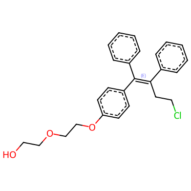 OCCOCCOc1ccc(/C(=C(\CCCl)c2ccccc2)c2ccccc2)cc1